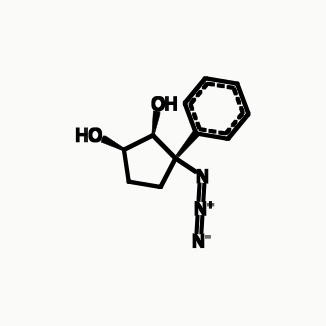 [N-]=[N+]=N[C@]1(c2ccccc2)CC[C@@H](O)[C@H]1O